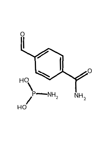 NC(=O)c1ccc(C=O)cc1.NP(O)O